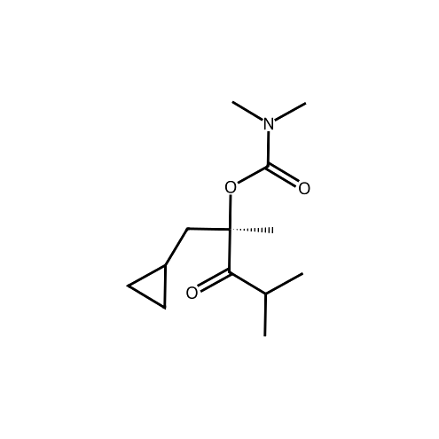 CC(C)C(=O)[C@@](C)(CC1CC1)OC(=O)N(C)C